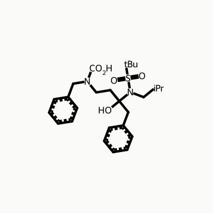 CC(C)CN(C(O)(CCN(Cc1ccccc1)C(=O)O)Cc1ccccc1)S(=O)(=O)C(C)(C)C